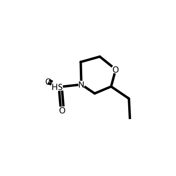 CCC1CN([SH](=O)=O)CCO1